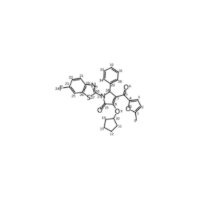 Cc1ccc(C(=O)C2=C(OC3CCCC3)C(=O)N(c3nc4ccc(F)cc4s3)C2c2ccccc2)o1